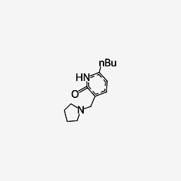 CCCCc1ccc(CN2CCCC2)c(=O)[nH]1